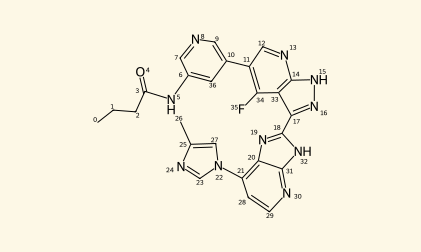 CCCC(=O)Nc1cncc(-c2cnc3[nH]nc(-c4nc5c(-n6cnc(C)c6)ccnc5[nH]4)c3c2F)c1